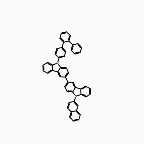 c1ccc(-c2ccccc2-c2ccc(-n3c4ccccc4c4cc(-c5ccc6c(c5)c5ccccc5n6-c5ccc6ccccc6c5)ccc43)cc2)cc1